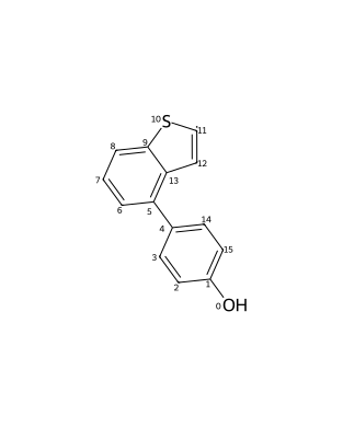 Oc1ccc(-c2cccc3s[c]cc23)cc1